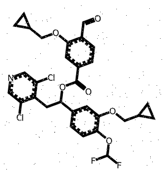 O=Cc1ccc(C(=O)OC(Cc2c(Cl)cncc2Cl)c2ccc(OC(F)F)c(OCC3CC3)c2)cc1OCC1CC1